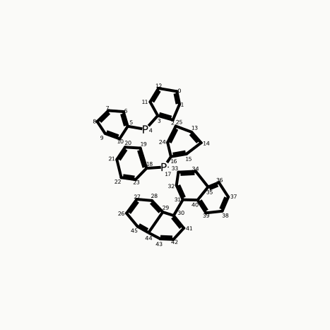 c1ccc([P]c2ccccc2)cc1.c1ccc([P]c2ccccc2)cc1.c1ccc2c(-c3cccc4ccccc34)cccc2c1